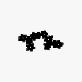 C1=c2c(-c3cccc(-c4nc5ccc(-c6nc(C7=CCCC=C7)nc(-c7ccccc7)n6)cc5o4)c3)cc3c4ccccc4n(-c4nc5ccccc5o4)c3c2=1